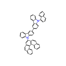 c1ccc2c(-n3c4ccccc4c4cc(-c5ccc6c(c5)c5ccccc5n6-c5cc6ccc7ccccc7c6c6c5ccc5ccccc56)ccc43)cccc2c1